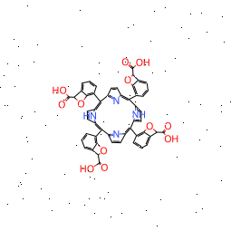 O=C(O)C1Oc2c(-c3c4nc(c(-c5cccc6c5OC6C(=O)O)c5ccc([nH]5)c(-c5cccc6c5OC6C(=O)O)c5nc(c(-c6cccc7c6OC7C(=O)O)c6ccc3[nH]6)C=C5)C=C4)cccc21